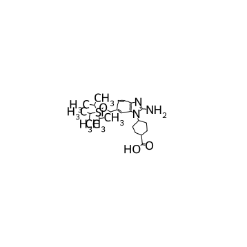 CC(C)[Si](OCc1ccc2nc(N)n(C3CCC(C(=O)O)CC3)c2c1)(C(C)C)C(C)C